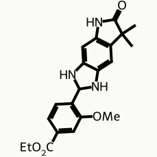 CCOC(=O)c1ccc(C2Nc3cc4c(cc3N2)C(C)(C)C(=O)N4)c(OC)c1